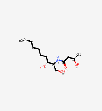 CCCCCCCCCCCCCCC[C@@H](O)[C@H](CO)NC(=O)C[C@@H](O)CC